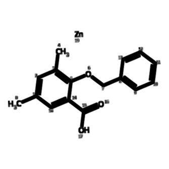 Cc1cc(C)c(OCc2ccccc2)c(C(=O)O)c1.[Zn]